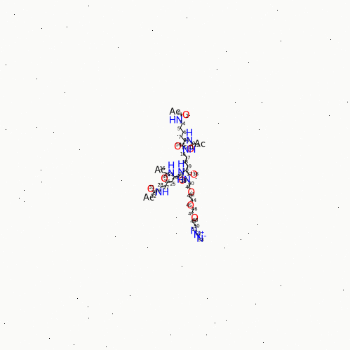 CC(=O)C(=O)NCCCCC(NC(=O)C(C)=O)C(=O)NCCCCC(NC(=O)C(CCCCNC(=O)C(C)=O)NC(=O)C(C)=O)C(=O)NCCOCCOCCOCCN=[N+]=[N-]